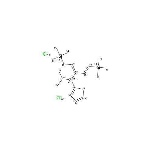 C[C](C)=[Zr+2]([C]1=CC=CC1)[C](=C\C[Si](C)(C)C)/C=C/[Si](C)(C)C.[Cl-].[Cl-]